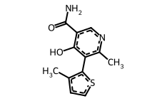 Cc1ccsc1-c1c(C)ncc(C(N)=O)c1O